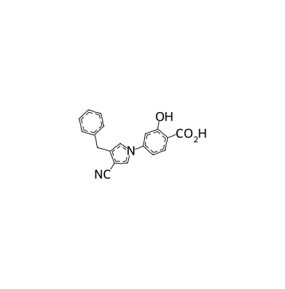 N#Cc1cn(-c2ccc(C(=O)O)c(O)c2)cc1Cc1ccccc1